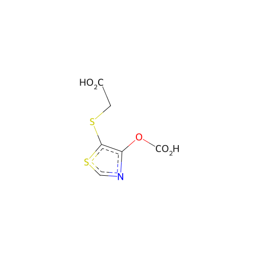 O=C(O)CSc1scnc1OC(=O)O